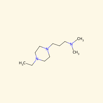 CCN1CCN(CCCN(C)C)CC1